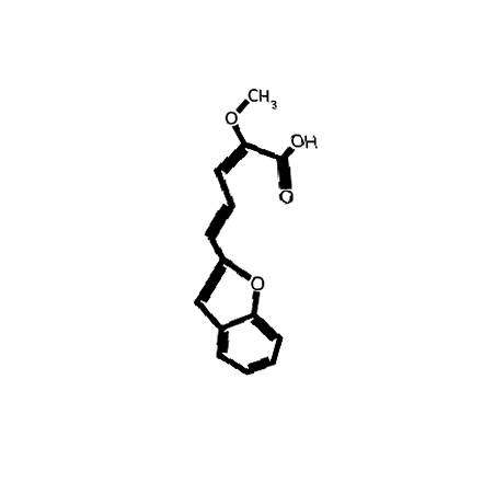 CO/C(=C/C=C/c1cc2ccccc2o1)C(=O)O